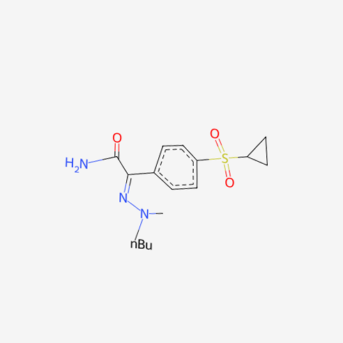 CCCCN(C)/N=C(/C(N)=O)c1ccc(S(=O)(=O)C2CC2)cc1